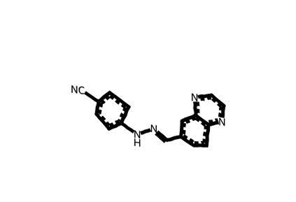 N#Cc1ccc(NN=Cc2ccc3nccnc3c2)cc1